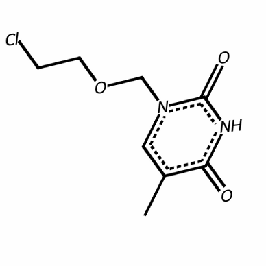 Cc1cn(COCCCl)c(=O)[nH]c1=O